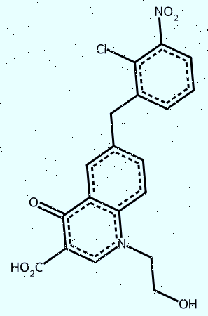 O=C(O)c1cn(CCO)c2ccc(Cc3cccc([N+](=O)[O-])c3Cl)cc2c1=O